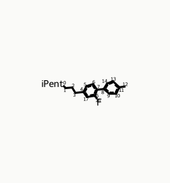 CCCC(C)CCCc1ccc(-c2ccc(C)cc2)c(F)c1